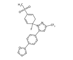 CS(=O)(=O)C1=CCC(F)(n2nc(C(F)(F)F)cc2-c2ccc(-c3ccco3)cc2)C=C1